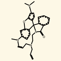 C=CCN(CC=C)CCN1C(=O)c2ccccc2C12c1ccc(N(C)C)cc1Oc1cc(N(C)C)ccc12